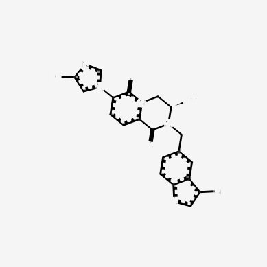 Cc1cn(-c2ccc3n(c2=O)C[C@@H](C)N(Cc2ccc4scc(Br)c4c2)C3=O)cn1